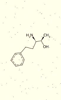 C[C@@H](O)[C@H](N)CCc1ccccc1